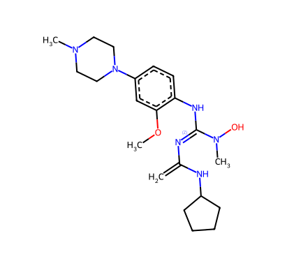 C=C(/N=C(/Nc1ccc(N2CCN(C)CC2)cc1OC)N(C)O)NC1CCCC1